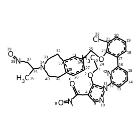 CCOc1c(C(=O)N=O)cnn1-c1cccc(-c2cccc(Cl)c2OCc2ccc3c(c2)CCN(C(C)CN=O)CC3)n1